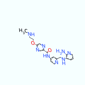 CNCCOc1cnc(C(=O)Nc2ccnc(CNc3cccnc3N)c2)cn1